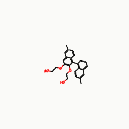 Cc1ccc2c(-c3c(OCCO)c(OCCO)cc4cc(C)ccc34)cccc2c1